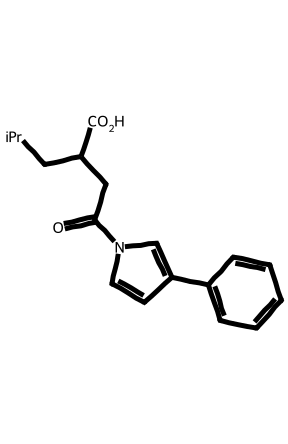 CC(C)CC(CC(=O)n1ccc(-c2ccccc2)c1)C(=O)O